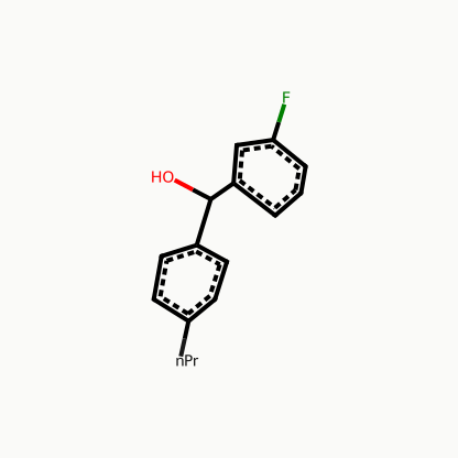 CCCc1ccc(C(O)c2cccc(F)c2)cc1